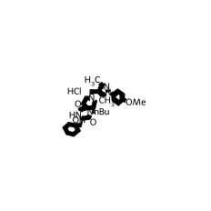 CCCCN1C(=O)[C@@H](CC2(O)CCCCC2)NC(=O)C12CCN(Cc1c(C)nn(-c3ccc(OC)cc3)c1C)CC2.Cl